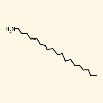 CCCCCCCCCCCCCCC=CCCCN